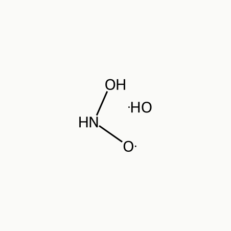 [OH].[O]NO